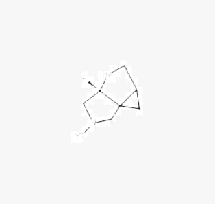 CC(C)N1C[C@@H]2NCC3CC32C1